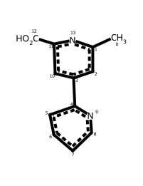 Cc1cc(-c2ccccn2)cc(C(=O)O)n1